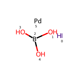 I.OB(O)O.[Pd]